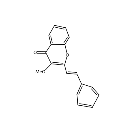 COc1c(C=Cc2ccccc2)oc2ccccc2c1=O